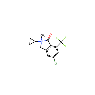 C[N+]1(C2CC2)Cc2cc(Cl)cc(C(F)(F)F)c2C1=O